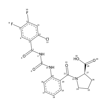 O=C(NC(=O)c1cc(F)c(F)cc1Cl)Nc1ccccc1C(=O)N1CCC[C@@H]1C(=O)O